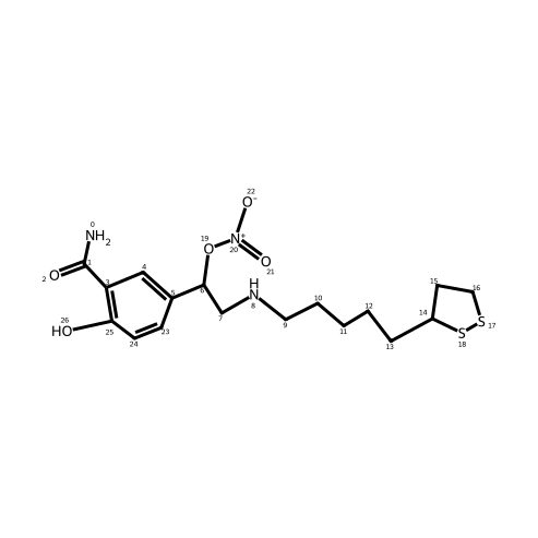 NC(=O)c1cc(C(CNCCCCCC2CCSS2)O[N+](=O)[O-])ccc1O